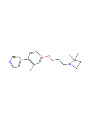 CC1(C)CCN1CCCOc1ccc(-c2ccncc2)c(F)c1